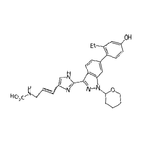 CCc1cc(O)ccc1-c1ccc2c(-c3nc(/C=C/CNC(=O)O)c[nH]3)nn(C3CCCCO3)c2c1